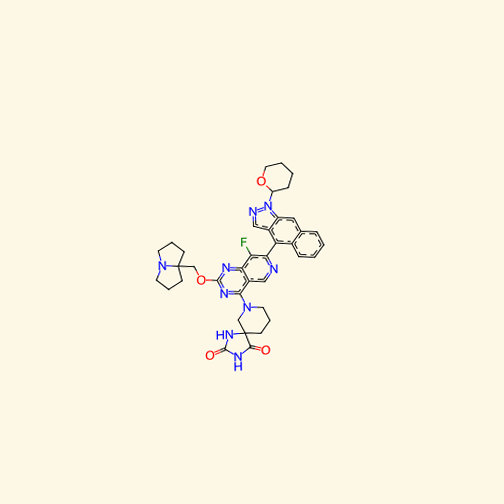 O=C1NC(=O)C2(CCCN(c3nc(OCC45CCCN4CCC5)nc4c(F)c(-c5c6ccccc6cc6c5cnn6C5CCCCO5)ncc34)C2)N1